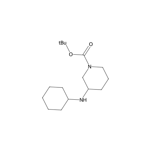 CC(C)(C)OC(=O)N1CCCC(NC2CCCCC2)C1